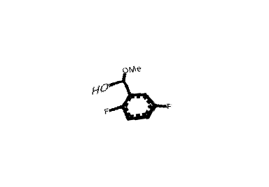 COC(O)c1cc(F)ccc1F